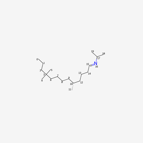 CCCC(C)(C)CCCC[C@@H](C)CCC/C=N/C(C)C